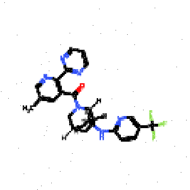 Cc1cnc(-c2ncccn2)c(C(=O)N2C[C@@H]3CC[C@H]2[C@H](Nc2ccc(C(F)(F)F)cn2)C3)c1